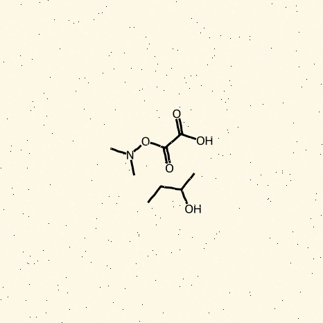 CCC(C)O.CN(C)OC(=O)C(=O)O